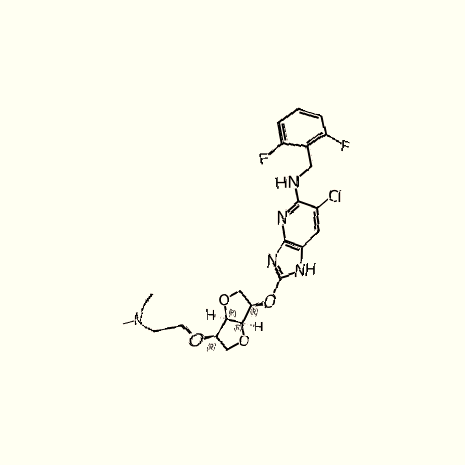 CN(C)CCO[C@@H]1CO[C@H]2[C@@H]1OC[C@H]2Oc1nc2nc(NCc3c(F)cccc3F)c(Cl)cc2[nH]1